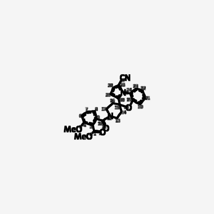 COC(=O)c1c(OC)cccc1C(=O)N1CCC2(CC1)Oc1ccccc1-n1c(C#N)ccc12